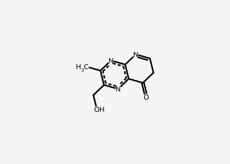 Cc1nc2c(nc1CO)C(=O)CC=N2